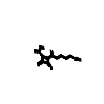 CCNc1c(NCCCCC(C)(C)C)c(=S)c1=S